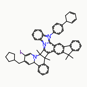 CC1(C)c2ccccc2-c2cc3c(cc21)c1c([n+]2c4ccccc4n(-c4ccc(C5C=CC=CC5)cc4)c32)C2(C)N3C=C(I)C(CC4CCCC4)=CC3c3ccccc3C12C